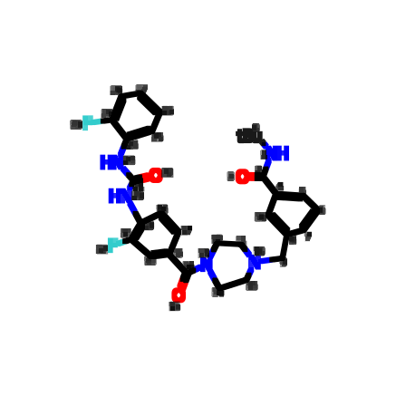 CC(C)(C)NC(=O)c1cccc(CN2CCN(C(=O)c3ccc(NC(=O)Nc4ccccc4F)c(F)c3)CC2)c1